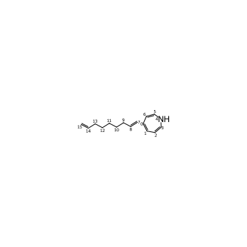 C1=CC=CNC=C1.C=CCCCCCC=C